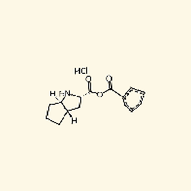 Cl.O=C(OC(=O)[C@@H]1C[C@@H]2CCC[C@H]2N1)c1ccccc1